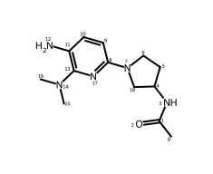 CC(=O)NC1CCN(c2ccc(N)c(N(C)C)n2)C1